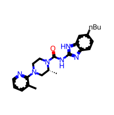 CCCCc1ccc2nc(NC(=O)N3CCN(c4ncccc4C)C[C@H]3C)[nH]c2c1